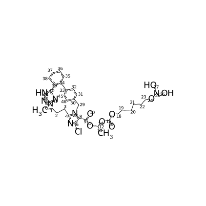 CCCCc1nc(Cl)c(C(=O)OC(C)OC(=O)OCCCCCCON(O)O)n1Cc1ccc(-c2ccccc2-c2nnn[nH]2)cc1